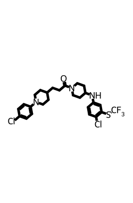 O=C(CCC1CCN(c2ccc(Cl)cc2)CC1)N1CCC(Nc2ccc(Cl)c(SC(F)(F)F)c2)CC1